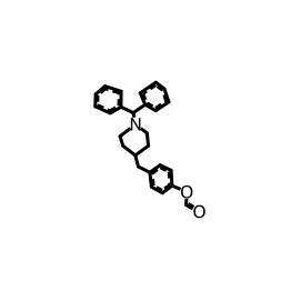 O=COc1ccc(CC2CCN(C(c3ccccc3)c3ccccc3)CC2)cc1